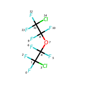 FC(F)(Cl)C(F)(F)OC(F)(F)C(F)(F)Cl